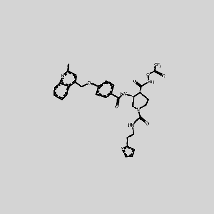 Cc1cc(COc2ccc(C(=O)N[C@@H]3CN(C(=O)NCCc4cccs4)CC[C@@H]3C(=O)NOC(=O)C(F)(F)F)cc2)c2ccccc2n1